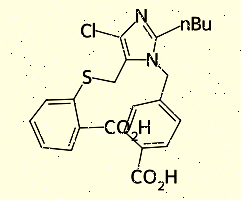 CCCCc1nc(Cl)c(CSc2ccccc2C(=O)O)n1Cc1ccc(C(=O)O)cc1